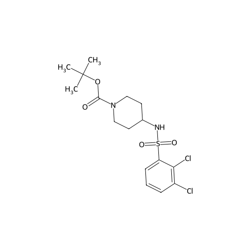 CC(C)(C)OC(=O)N1CCC(NS(=O)(=O)c2cccc(Cl)c2Cl)CC1